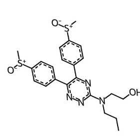 CCCN(CCO)c1nnc(-c2ccc([S+](C)[O-])cc2)c(-c2ccc([S+](C)[O-])cc2)n1